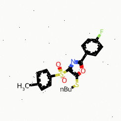 CCCCSc1oc(-c2ccc(F)cc2)nc1S(=O)(=O)c1ccc(C)cc1